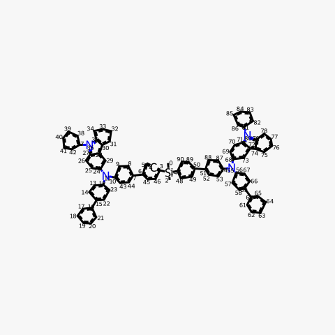 C[Si](C)(c1ccc(-c2ccc(N(c3ccc(-c4ccccc4)cc3)c3ccc4c(c3)c3ccccc3n4-c3ccccc3)cc2)cc1)c1ccc(-c2ccc(N(c3ccc(-c4ccccc4)cc3)c3ccc4c(c3)c3ccccc3n4-c3ccccc3)cc2)cc1